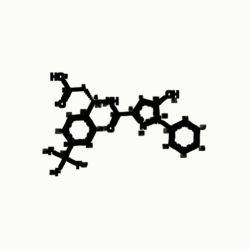 O=C(O)C[C@H](NC(=O)c1cc(O)n(-c2ccccc2)n1)c1ccc(C(F)(F)F)cc1